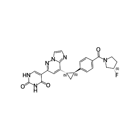 O=C(c1ccc([C@H]2C[C@@H]2c2cc(-c3c[nH]c(=O)[nH]c3=O)nn3ccnc23)cc1)N1CC[C@H](F)C1